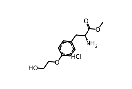 COC(=O)[C@@H](N)Cc1ccc(OCCO)cc1.Cl